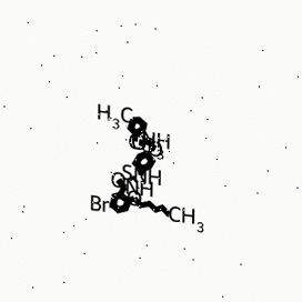 CCCCCCOc1ccc(Br)cc1C(=O)NC(=S)Nc1ccc(S(=O)(=O)Nc2ccc(C)cc2C)cc1